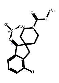 CC(C)(C)OC(=O)N1CCC2(CC1)Cc1c(Cl)cccc1/C2=N/[S@@+]([O-])C(C)(C)C